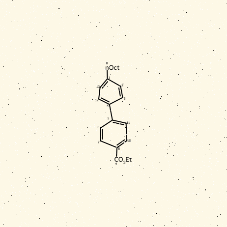 CCCCCCCCc1ccc(-c2ccc(C(=O)OCC)cc2)cc1